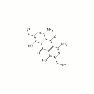 CC(C)Cc1cc(N)c2c(c1O)C(=O)c1c(O)c(CC(C)C)cc(N)c1C2=O